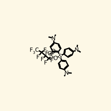 CN(C)c1ccc(S(OS(=O)(=O)C(F)(F)C(F)(F)C(F)(F)C(F)(F)F)(c2ccc(N(C)C)cc2)c2ccc(N(C)C)cc2)cc1